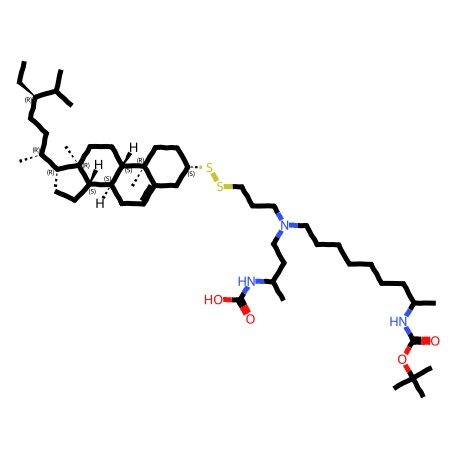 CC[C@H](CC[C@@H](C)[C@H]1CC[C@H]2[C@@H]3CC=C4C[C@@H](SSCCCN(CCCCCCCC(C)NC(=O)OC(C)(C)C)CCC(C)NC(=O)O)CC[C@]4(C)[C@H]3CC[C@]12C)C(C)C